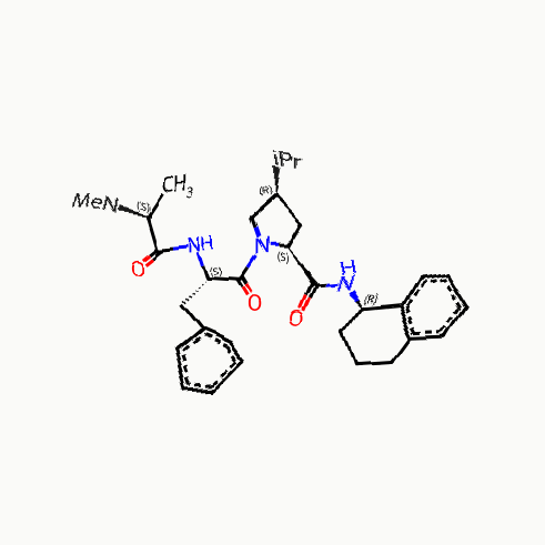 CN[C@@H](C)C(=O)N[C@@H](Cc1ccccc1)C(=O)N1C[C@@H](C(C)C)C[C@H]1C(=O)N[C@@H]1CCCc2ccccc21